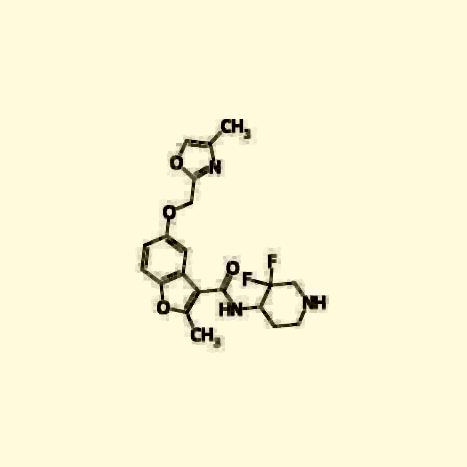 Cc1coc(COc2ccc3oc(C)c(C(=O)NC4CCNCC4(F)F)c3c2)n1